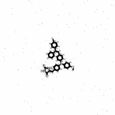 COc1ccc(N(c2ccc(/C=C3\NC(=S)NC3=O)cc2)c2ccc(/C=C(\c3ccccc3)c3ccc(C)cc3)cc2)cc1